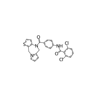 O=C(Nc1ccc(C(=O)N2Cc3cccn3Cc3sccc32)cc1)c1c(Cl)cccc1Cl